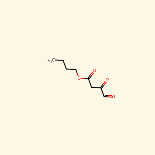 CCCCOC(=O)CC(=O)C=O